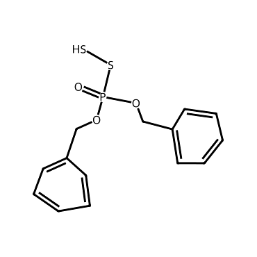 O=P(OCc1ccccc1)(OCc1ccccc1)SS